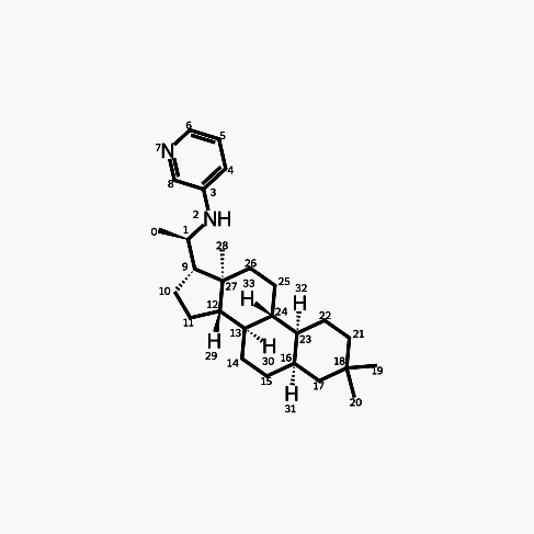 C[C@@H](Nc1cccnc1)[C@H]1CC[C@H]2[C@@H]3CC[C@@H]4CC(C)(C)CC[C@@H]4[C@H]3CC[C@]12C